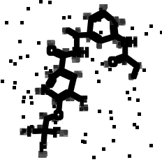 CCC(=O)Nc1cc(C(C)NC(=O)c2cnc(OCC(F)(F)F)c(F)c2)ccn1